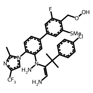 CSc1cc(-c2ccc(-n3cc(C(F)(F)F)nc3C)c(N(N)/C(=C\N)C(C)(C)c3ccc(Cl)cc3)c2)cc(F)c1COO